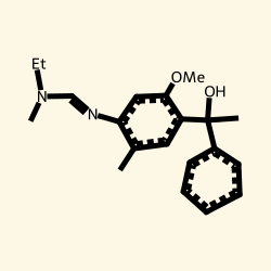 CCN(C)C=Nc1cc(OC)c(C(C)(O)c2ccccc2)cc1C